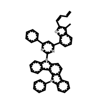 C=C/C=C\c1oc2c(-c3cc(-c4ccccc4)nc(-n4c5ccccc5c5c4ccc4c6ccccc6n(-c6ccccc6)c45)n3)cccc2c1C